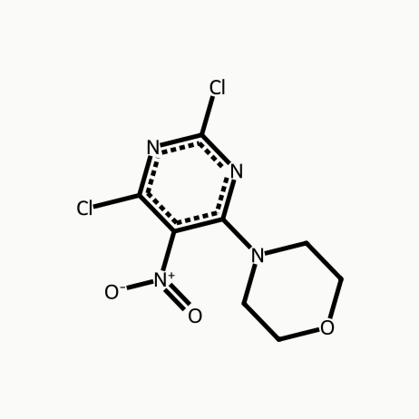 O=[N+]([O-])c1c(Cl)nc(Cl)nc1N1CCOCC1